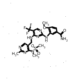 COc1ccc(C(N)=O)cc1Nc1ncc(C(F)(F)F)c(NCc2cnc(C)nc2N(C)S(C)(=O)=O)n1